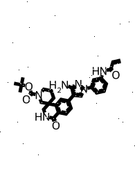 C=CC(=O)Nc1cccc(-n2cc(-c3ccc4c(c3)C3(CCCN(C(=O)OC(C)(C)C)C3)CNC4=O)c(N)n2)c1